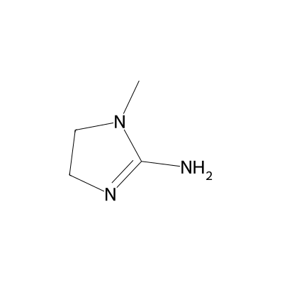 CN1CCN=C1N